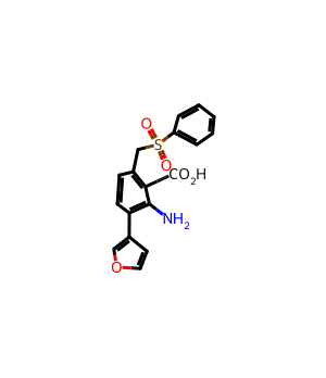 Nc1c(-c2ccoc2)ccc(CS(=O)(=O)c2ccccc2)c1C(=O)O